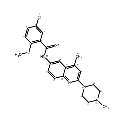 COc1ccc(Cl)cc1C(=O)Nc1ccc2nc(N3CCN(C)CC3)cc(C)c2c1